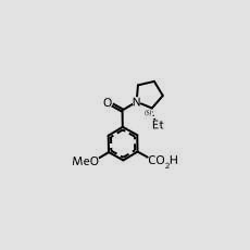 CC[C@H]1CCCN1C(=O)c1cc(OC)cc(C(=O)O)c1